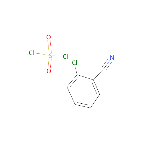 N#Cc1ccccc1Cl.O=S(=O)(Cl)Cl